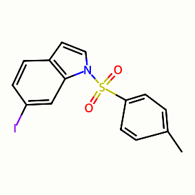 Cc1ccc(S(=O)(=O)n2ccc3ccc(I)cc32)cc1